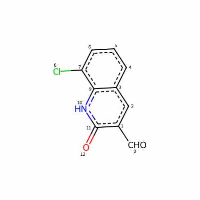 O=Cc1cc2cccc(Cl)c2[nH]c1=O